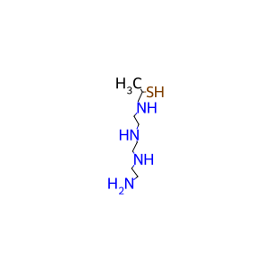 CC(S)CNCCNCCNCCN